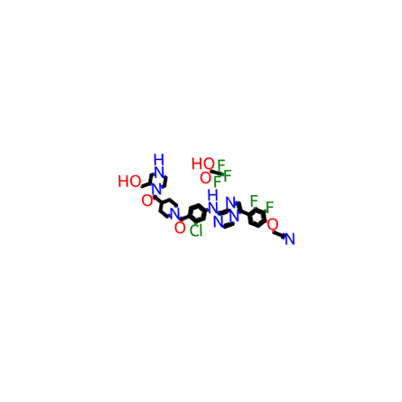 N#CCOc1ccc(-c2cnc3c(Nc4ccc(C(=O)N5CCC(C(=O)N6CCNCC6CO)CC5)c(Cl)c4)nccn23)c(F)c1F.O=C(O)C(F)(F)F